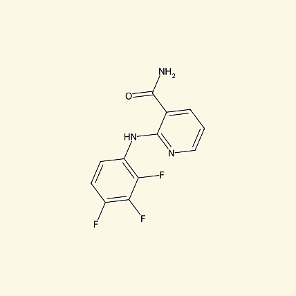 NC(=O)c1cccnc1Nc1ccc(F)c(F)c1F